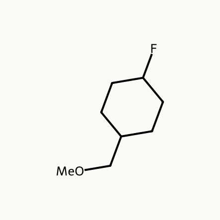 COCC1CCC(F)CC1